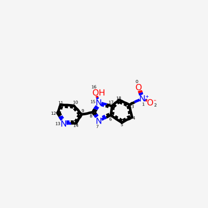 O=[N+]([O-])c1ccc2nc(-c3cccnc3)n(O)c2c1